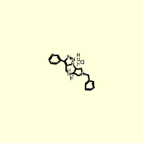 OCl.c1ccc(CN2C[C@@H]3NCc4c(-c5ccccc5)nnn4[C@H]3C2)cc1